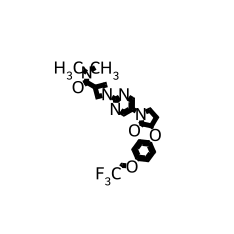 CN(C)C(=O)C1CN(c2ncc(N3CC[C@@H](Oc4ccc(OCC(F)(F)F)cc4)C3=O)cn2)C1